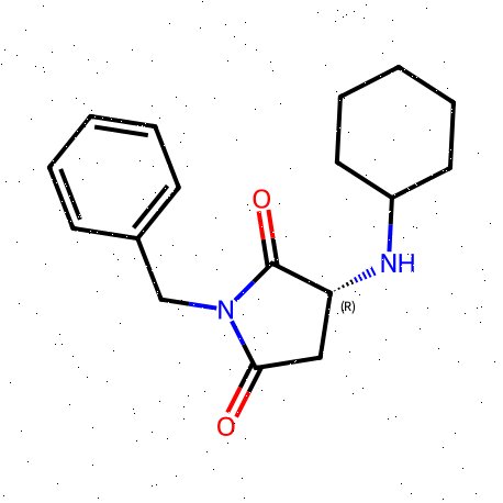 O=C1C[C@@H](NC2CCCCC2)C(=O)N1Cc1ccccc1